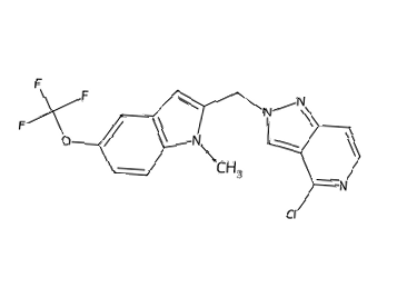 Cn1c(Cn2cc3c(Cl)nccc3n2)cc2cc(OC(F)(F)F)ccc21